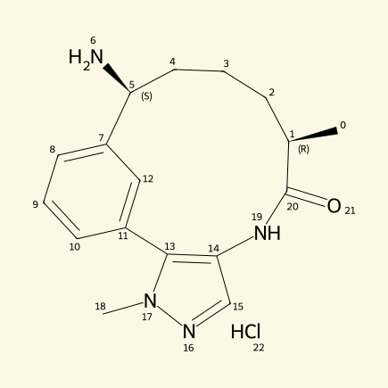 C[C@@H]1CCC[C@H](N)c2cccc(c2)-c2c(cnn2C)NC1=O.Cl